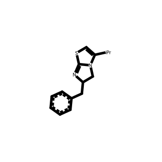 CC(C)C1=CSC2=NC(Cc3ccccc3)CN12